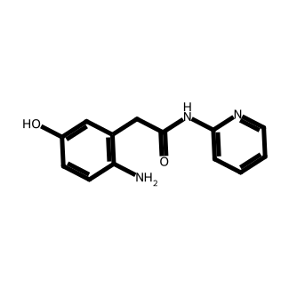 Nc1ccc(O)cc1CC(=O)Nc1ccccn1